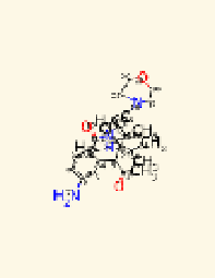 CC(=O)C(c1cc(N)ccc1C(=O)NCCN1CCOCC1)[Si](C(C)C)(C(C)C)C(C)C